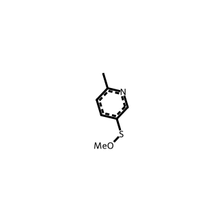 COSc1ccc(C)nc1